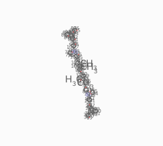 CC1(C)c2cc(-c3ccc(/C=C(\c4ccccc4)c4ccc(-c5ccc6c(c5)c5ccccc5n6-c5ccccc5)cc4)cc3)ccc2-c2ccc(-c3ccc4c(c3)C(C)(C)c3cc(-c5ccc(/C=C(\c6ccccc6)c6ccc(-c7ccc8c(c7)c7ccccc7n8-c7ccccc7)cc6)cc5)ccc3-4)cc21